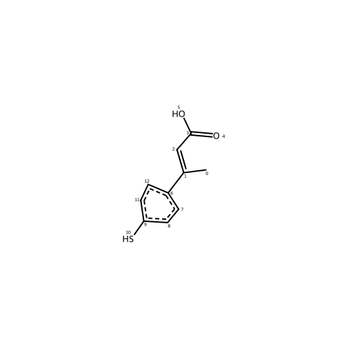 CC(=CC(=O)O)c1ccc(S)cc1